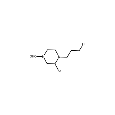 CC(=O)C1CN(C=O)CCN1CCC[O]